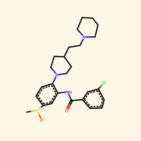 C[S+]([O-])c1ccc(N2CCC(CCN3CCCCC3)CC2)c(NC(=O)c2cccc(Cl)c2)c1